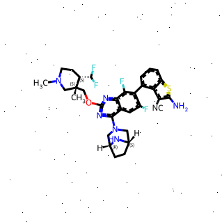 CN1CC[C@H](C(F)F)[C@](C)(COc2nc(N3C[C@H]4CC[C@@H](C3)N4)c3cc(F)c(-c4cccc5sc(N)c(C#N)c45)c(F)c3n2)C1